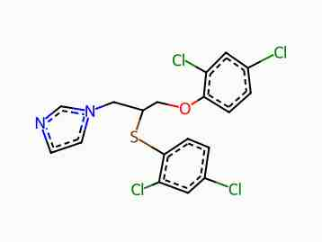 Clc1ccc(OCC(Cn2ccnc2)Sc2ccc(Cl)cc2Cl)c(Cl)c1